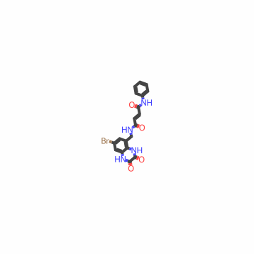 O=C(/C=C/C(=O)Nc1ccccc1)NCc1cc(Br)cc2[nH]c(=O)c(=O)[nH]c12